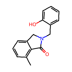 Cc1cccc2c1C(=O)N(Cc1ccccc1O)C2